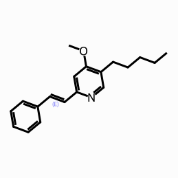 CCCCCc1cnc(/C=C/c2ccccc2)cc1OC